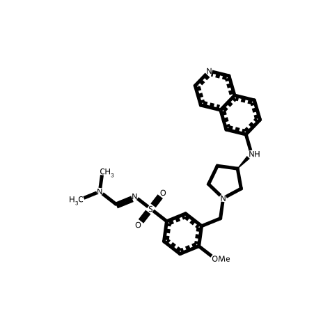 COc1ccc(S(=O)(=O)/N=C/N(C)C)cc1CN1CC[C@@H](Nc2ccc3cnccc3c2)C1